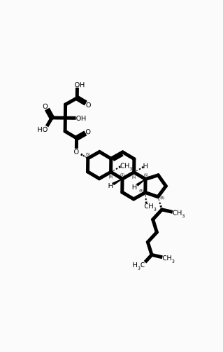 CC(C)CCCC(C)[C@H]1CC[C@H]2[C@@H]3CC=C4C[C@@H](OC(=O)CC(O)(CC(=O)O)C(=O)O)CC[C@]4(C)[C@H]3CC[C@]12C